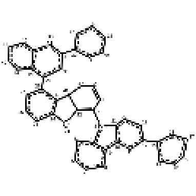 C1=CC(n2c3ccccc3c3cc(-c4ccccc4)ccc32)=C2Oc3cccc(-c4cc(-c5ccccc5)nc5ccccc45)c3C2C1